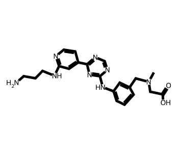 CN(CC(=O)O)Cc1cccc(Nc2ncnc(-c3ccnc(NCCCN)c3)n2)c1